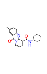 Cc1ccc2nc3c(C(=O)NC4CCCCC4)cccn3c(=O)c2c1